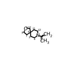 C=C(C)N1CCC2(CCOC2)CC1